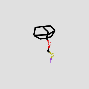 ISCOC12CC3CC(CC(C3)C1)C2